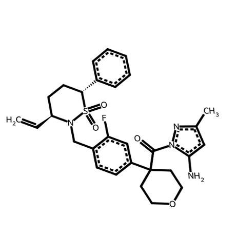 C=C[C@H]1CC[C@H](c2ccccc2)S(=O)(=O)N1Cc1ccc(C2(C(=O)n3nc(C)cc3N)CCOCC2)cc1F